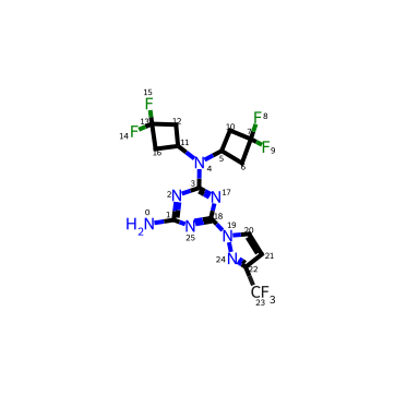 Nc1nc(N(C2CC(F)(F)C2)C2CC(F)(F)C2)nc(-n2ccc(C(F)(F)F)n2)n1